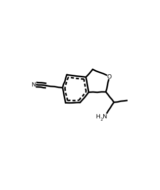 CC(N)C1OCc2cc(C#N)ccc21